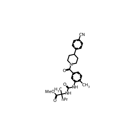 CCCC(C)(NC(=O)Nc1cc(C(=O)N2CCC(c3ccc(C#N)cc3)CC2)ccc1C)C(=O)OC